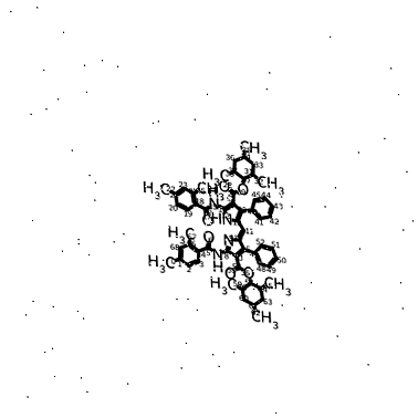 Cc1ccc(C(=O)NC2=N/C(=C\c3[nH]c(NC(=O)c4ccc(C)cc4C)c(C(=O)OC4C(C)CC(C)CC4C)c3-c3ccccc3)C(c3ccccc3)=C2C(=O)OC2C(C)CC(C)CC2C)c(C)c1